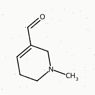 CN1CCC=C([C]=O)C1